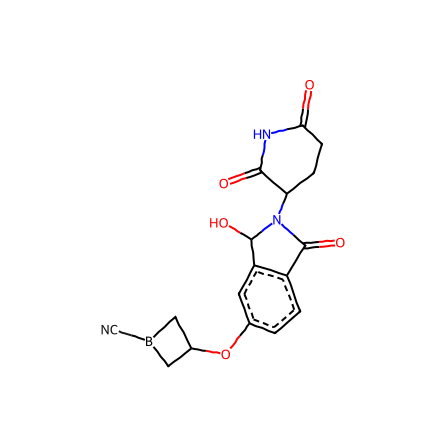 N#CB1CC(Oc2ccc3c(c2)C(O)N(C2CCC(=O)NC2=O)C3=O)C1